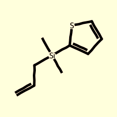 C=CC[Si](C)(C)c1cccs1